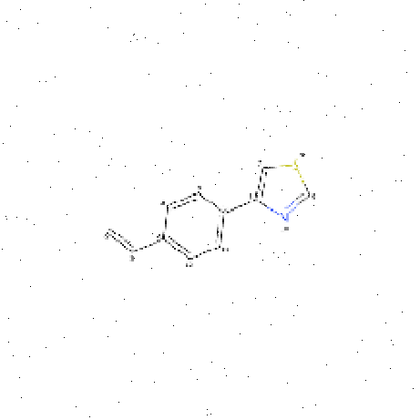 C=Cc1ccc(-c2cscn2)cc1